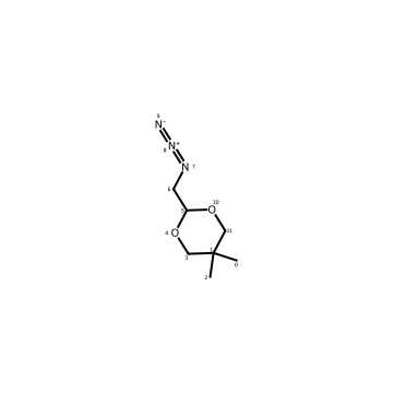 CC1(C)COC(CN=[N+]=[N-])OC1